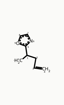 [CH2]C(CC=C)c1ncco1